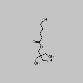 O=C(CCCCS)OCC(CO)(CO)CO